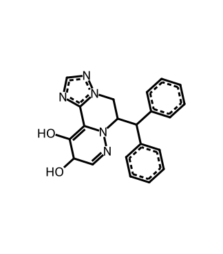 OC1=C2c3ncnn3CC(C(c3ccccc3)c3ccccc3)N2N=CC1O